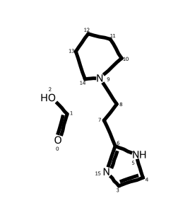 O=CO.c1c[nH]c(CCN2CCCCC2)n1